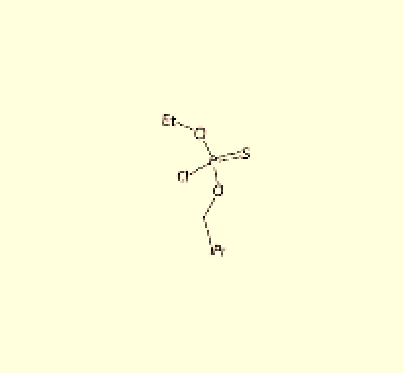 CCOP(=S)(Cl)OCC(C)C